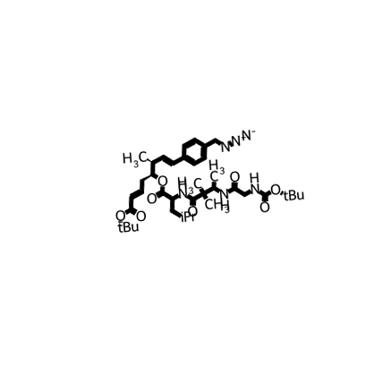 CC(C)CC(NC(=O)C(C)(C)C(C)NC(=O)CNC(=O)OC(C)(C)C)C(=O)O[C@@H](C/C=C/C(=O)OC(C)(C)C)[C@H](C)/C=C/c1ccc(CN=[N+]=[N-])cc1